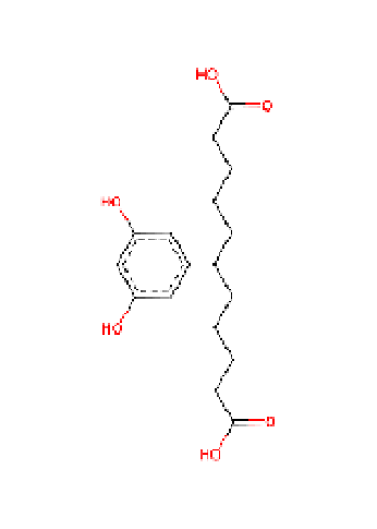 O=C(O)CCCCCCCCCC(=O)O.Oc1cccc(O)c1